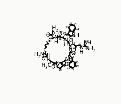 C[C@H]1NC(=O)[C@@H](N)CSSC[C@@H](C(N)=O)NC(=O)[C@H](Cc2c[nH]c3ccccc23)NC(=O)[C@H](CCCNC(=N)N)NC(=O)[C@@H](Cc2ccccc2)NC(=O)[C@H]2CCCN2C1=O